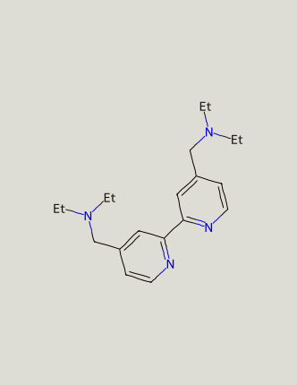 CCN(CC)Cc1ccnc(-c2cc(CN(CC)CC)ccn2)c1